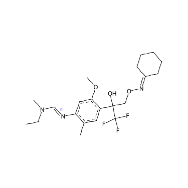 CCN(C)/C=N/c1cc(OC)c(C(O)(CON=C2CCCCC2)C(F)(F)F)cc1C